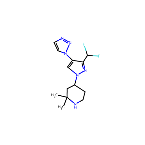 CC1(C)CC(n2cc(-n3ccnn3)c(C(F)F)n2)CCN1